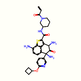 C=CC(=O)N1CCCC(NC(=O)c2sc3c(N)ccc4c3c2C(N)C(=O)C4(N)c2ccc(OC3CCC3)nc2)C1